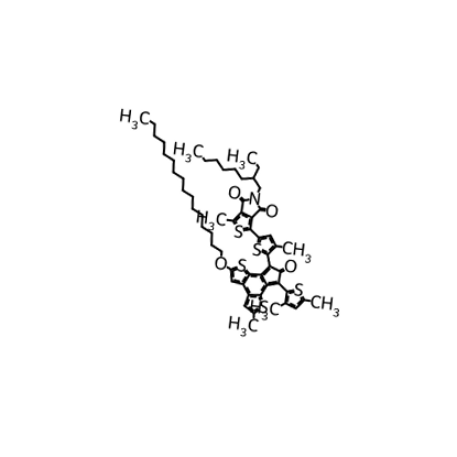 CCCCCCCCCCCCCCCCOc1cc2c(s1)c1c(c3sc(C)cc32)=C(c2sc(C)cc2C)C(=O)C=1c1sc(-c2sc(C)c3c2C(=O)N(CC(CC)CCCCCC)C3=O)cc1C